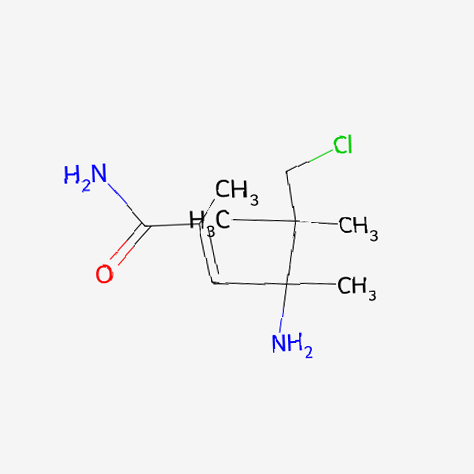 CC(=CC(C)(N)C(C)(C)CCl)C(N)=O